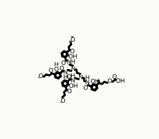 C=C(CCCOCC(=O)O)c1cccc(C(=O)NCCN(CCCN(CCNC(=O)c2cccc(C(=O)CCCOC)c2O)CCNC(=O)c2cccc(C(=O)CCCOC)c2O)CCNC(=O)c2cccc(C(=O)CCCOC)c2O)c1O